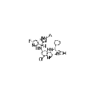 [2H]C(Nc1cc(Cl)c2ncc(C#N)c(N[C@H](CCO)c3ccccc3)c2c1)(c1ccc(F)nc1)c1cn(C2CC2)nn1